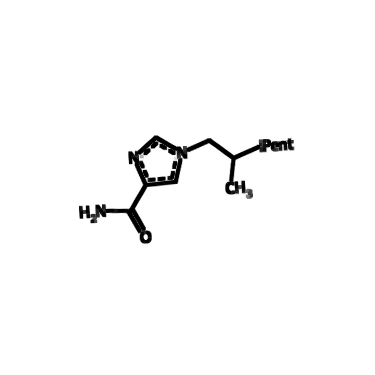 CCCC(C)C(C)Cn1cnc(C(N)=O)c1